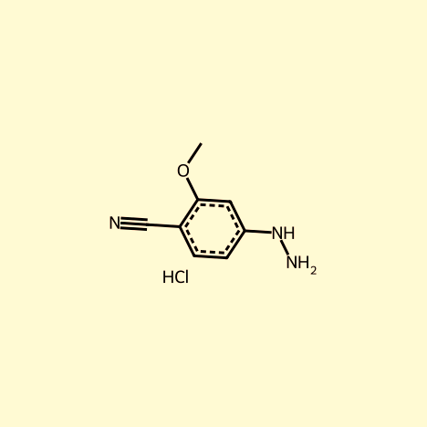 COc1cc(NN)ccc1C#N.Cl